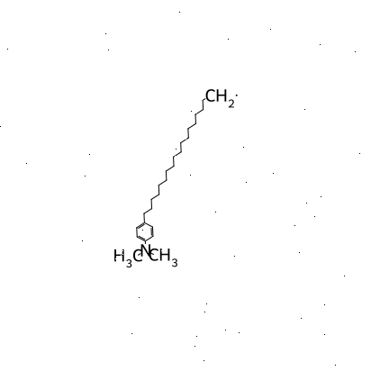 [CH2]CCCCCCCCCCCCCCCCCc1ccc(N(C)C)cc1